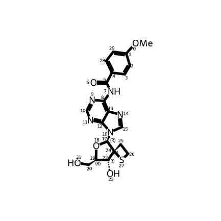 COc1ccc(C(=O)Nc2ncnc3c2ncn3[C@@H]2O[C@H](CO)[C@@H](O)[C@]23CCS3)cc1